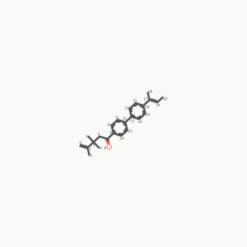 C=C(C)C(C)(C)CC(=O)c1ccc(-c2ccc(/C(C)=C/C)cc2)cc1